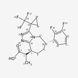 CC(C(=O)O)[C@@H]1CC[C@@H](c2cccc(F)c2F)Cn2c1nnc2C1(C(F)(F)F)CC1